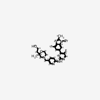 Cc1nc2c(F)cc(-c3nc(Nc4ccc(CN5CCO[C@](C)(CCO)C5)cn4)ncc3F)cc2n1C(C)C